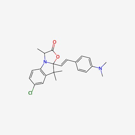 CC1C(=O)OC2(C=Cc3ccc(N(C)C)cc3)N1c1ccc(Cl)cc1C2(C)C